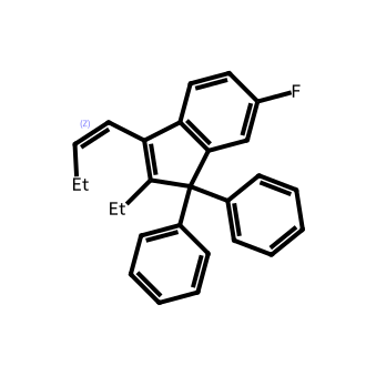 CC/C=C\C1=C(CC)C(c2ccccc2)(c2ccccc2)c2cc(F)ccc21